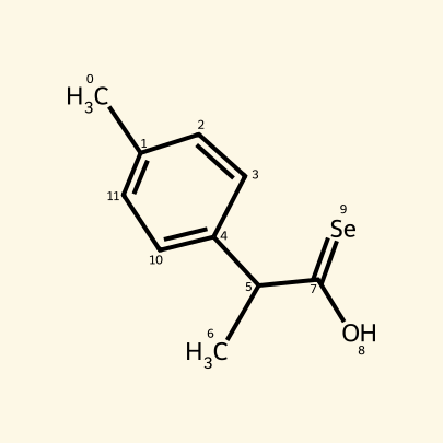 Cc1ccc(C(C)C(O)=[Se])cc1